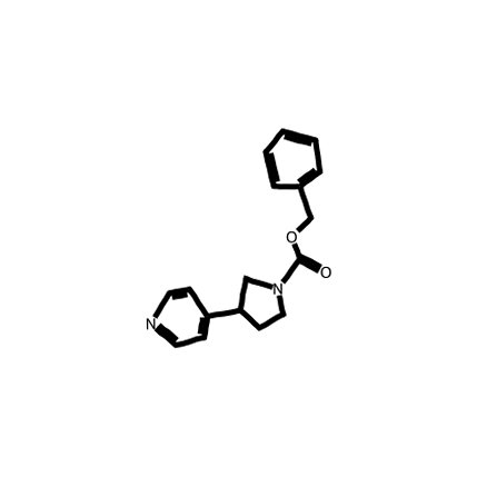 O=C(OCc1ccccc1)N1CCC(c2ccncc2)C1